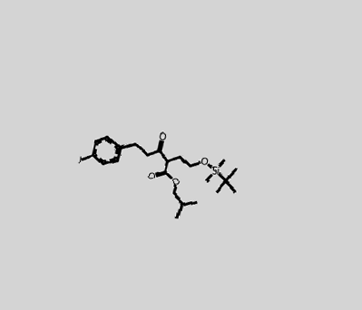 CC(C)COC(=O)C(CCO[Si](C)(C)C(C)(C)C)C(=O)CCc1ccc(I)cc1